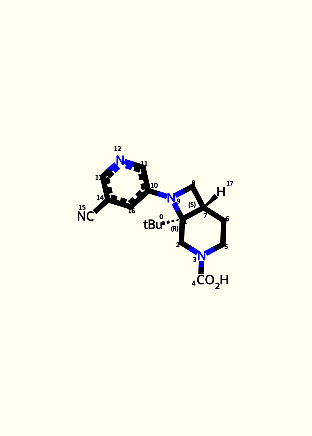 CC(C)(C)[C@@]12CN(C(=O)O)CC[C@H]1CN2c1cncc(C#N)c1